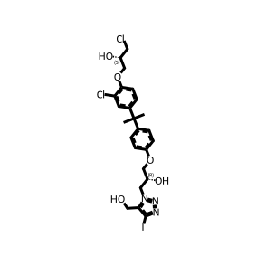 CC(C)(c1ccc(OC[C@H](O)Cn2nnc(I)c2CO)cc1)c1ccc(OC[C@H](O)CCl)c(Cl)c1